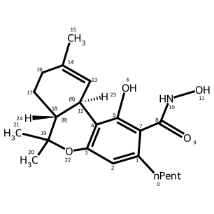 CCCCCc1cc2c(c(O)c1C(=O)NO)[C@@H]1C=C(C)CC[C@H]1C(C)(C)O2